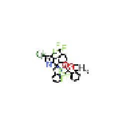 CO[C@](C(=O)N[C@](Cc1ccccc1)(c1ccc(Cl)cn1)c1cccc(C(F)(F)F)c1C)(c1ccccc1)C(F)(F)F